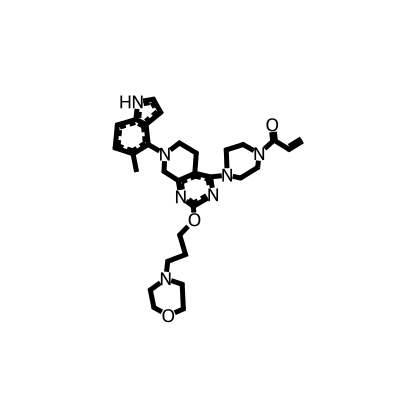 C=CC(=O)N1CCN(c2nc(OCCCN3CCOCC3)nc3c2CCN(c2c(C)ccc4[nH]ccc24)C3)CC1